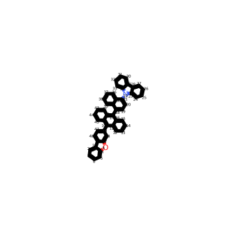 c1ccc2c(c1)oc1cc(-c3c4ccccc4c(-c4ccc(-n5c6ccccc6c6ccccc65)c5ccccc45)c4ccccc34)ccc12